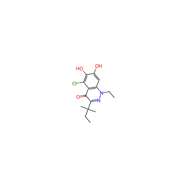 CCn1nc(C(C)(C)CC)c(=O)c2c(Cl)c(O)c(O)cc21